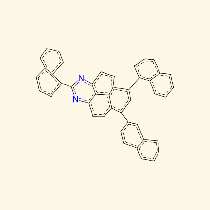 c1ccc2cc(-c3cc(-c4cccc5ccccc45)c4ccc5nc(-c6cccc7ccccc67)nc6ccc3c4c65)ccc2c1